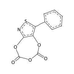 O=C1OC(=O)Oc2c(nsc2-c2ccccc2)O1